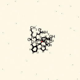 CCCCN(C(=O)OCc1ccccc1)[C@@H](CCC(N)=O)C(=O)N[C@H](C(=O)N1CCC[C@H]1C(=O)N1CCC[C@H]1C(=O)O)[C@@H](C)CC